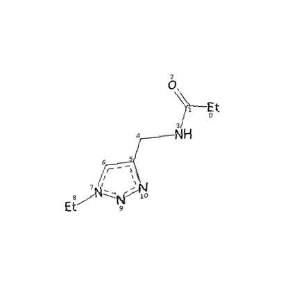 CCC(=O)NCc1cn(CC)nn1